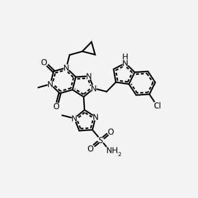 Cn1cc(S(N)(=O)=O)nc1-c1c2c(=O)n(C)c(=O)n(CC3CC3)c2nn1Cc1c[nH]c2ccc(Cl)cc12